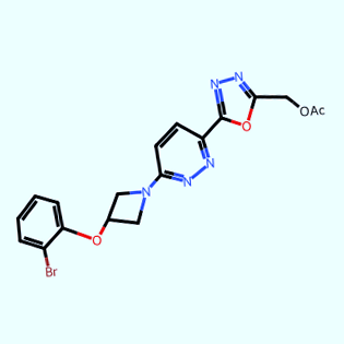 CC(=O)OCc1nnc(-c2ccc(N3CC(Oc4ccccc4Br)C3)nn2)o1